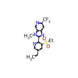 C=Cc1cnc(-c2nc3cc(C(F)(F)F)ncc3n2C)c(S(=O)(=O)CC)c1